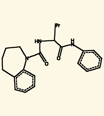 CC(C)C(NC(=O)N1CCCCc2ccccc21)C(=O)Nc1ccccc1